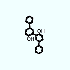 Oc1ccc(-c2ccccc2)cc1-c1cc(-c2ccccc2)ccc1O